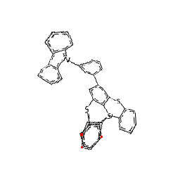 c1ccc([Si]23c4ccccc4Sc4cc(-c5cccc(-n6c7ccccc7c7ccccc76)c5)cc(c42)Sc2ccccc23)cc1